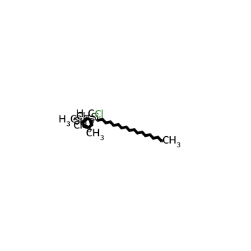 CCCCCCCCCCCCCCCCCC[Si](C)(Cl)c1cc(C)cc([Si](C)(C)C)c1